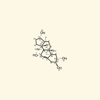 C[C@]12CC[C@H]3[C@@H]([C@@H](O)C=C4C[C@H](O)[C@@H](O)C[C@@]43C)[C@@H]1CC[C@@H]2O